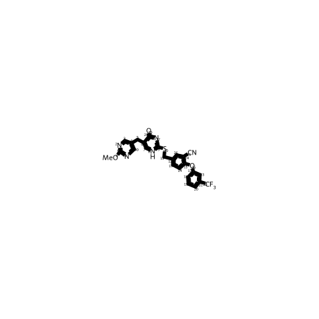 COc1ncc(Cc2c[nH]c(SCc3ccc(Oc4cccc(C(F)(F)F)c4)c(C#N)c3)nc2=O)cn1